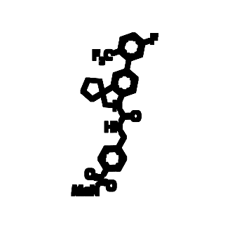 CNS(=O)(=O)c1ccc(CNC(=O)N2CC3(CCCC3)c3cc(-c4cc(F)ccc4C(F)(F)F)ccc32)cc1